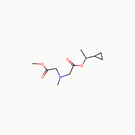 COC(=O)CN(C)CC(=O)OB(C)C1CC1